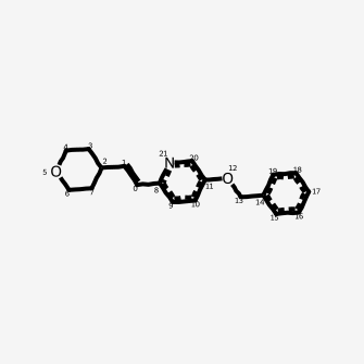 C(=C\C1CCOCC1)/c1ccc(OCc2ccccc2)cn1